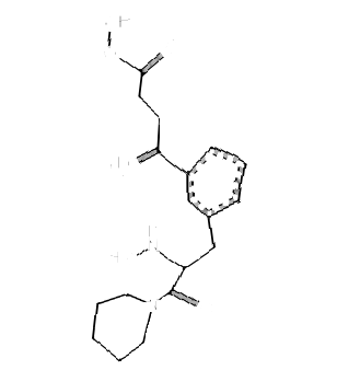 C=C(CCC(=O)OC)c1cccc(CC(NC)C(=O)N2CCCCC2)c1